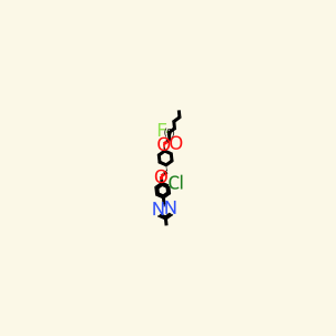 CCCC[C@H](F)C(=O)O[C@H]1CC[C@H](COc2ccc(-c3ncc(C)cn3)cc2Cl)CC1